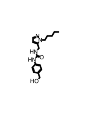 CCCCCn1nccc1CNC(=O)Nc1ccc(CO)cc1